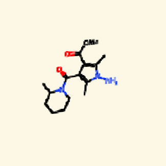 COC(=O)c1c(C(=O)N2CCCCC2C)c(C)n(N)c1C